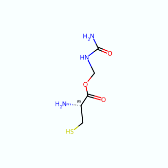 NC(=O)NCOC(=O)[C@@H](N)CS